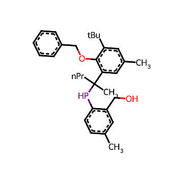 CCCC(C)(Pc1ccc(C)cc1CO)c1cc(C)cc(C(C)(C)C)c1OCc1ccccc1